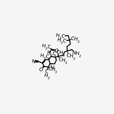 CCC(C)(C)CC[C@](C)(CN)CCC(C)(C)[C@]1(C)CC[C@H]2C(C)(C)C(=O)C(C#N)=C[C@]2(C)[C@H]1CC(C)=O